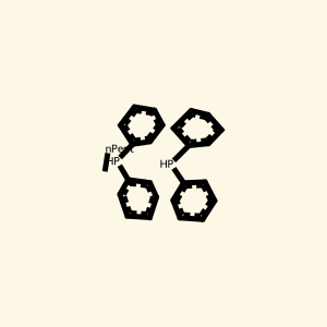 CCCCCC.c1ccc(Pc2ccccc2)cc1.c1ccc(Pc2ccccc2)cc1